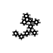 c1ccc(-c2cccc(-c3ccc(N(c4ccccc4)c4ccc(-c5c(-c6ccccc6)oc6c7ccccc7c7ccccc7c56)cc4)cc3)c2)cc1